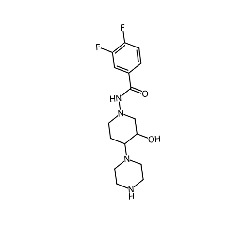 O=C(NN1CCC(N2CCNCC2)C(O)C1)c1ccc(F)c(F)c1